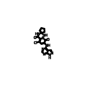 O=C1NC2(CCCC2)Nn2c1c(Cl)cc(Nc1ncnc3[nH]ncc13)c2=O